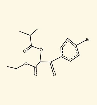 CCOC(=O)C(OC(=O)C(C)C)C(=O)c1ccc(Br)cc1